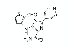 NC(=O)c1nc(-c2ccncc2)sc1Nc1ccsc1C=O